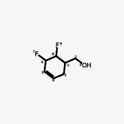 OCC1CC=CC(F)C1F